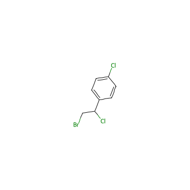 Clc1ccc(C(Cl)CBr)cc1